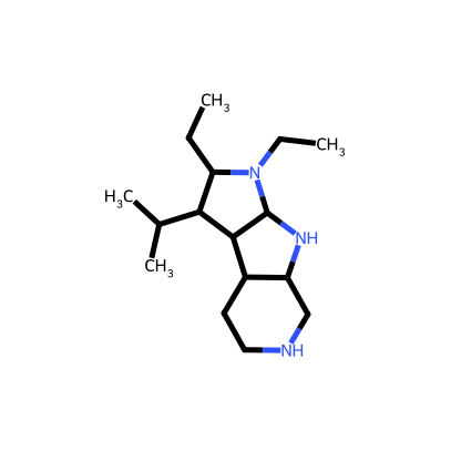 CCC1C(C(C)C)C2C3CCNCC3NC2N1CC